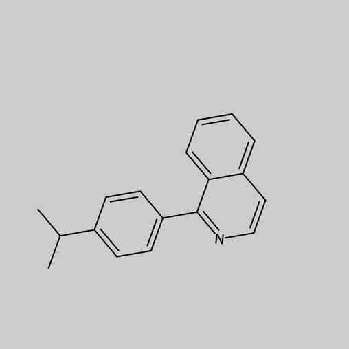 CC(C)c1ccc(-c2nccc3ccccc23)cc1